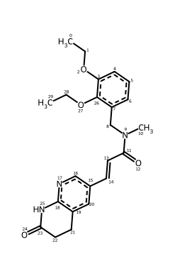 CCOc1cccc(CN(C)C(=O)/C=C/c2cnc3c(c2)CCC(=O)N3)c1OCC